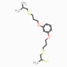 CC(C)CSCCCOc1cccc(OCCCSCC(C)S)c1